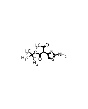 CC(=O)[C](C(=O)OC(C)(C)C)c1csc(N)n1